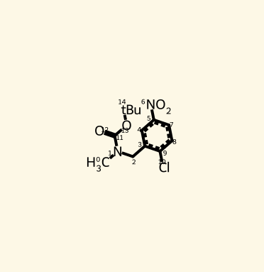 CN(Cc1cc([N+](=O)[O-])ccc1Cl)C(=O)OC(C)(C)C